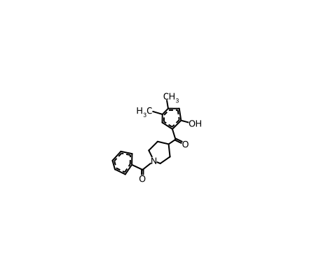 Cc1cc(O)c(C(=O)C2CCN(C(=O)c3ccccc3)CC2)cc1C